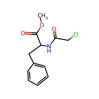 COC(=O)C(Cc1ccccc1)NC(=O)CCl